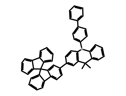 CC1(C)c2ccccc2N(c2ccc(-c3ccccc3)cc2)c2ccc(-c3ccc4c(c3)C3(c5ccccc5-c5ccccc53)c3ccccc3-4)cc21